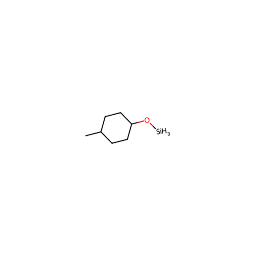 CC1CCC(O[SiH3])CC1